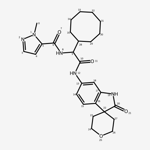 Cn1nccc1C(=O)NC(C(=O)Nc1ccc2c(c1)NC(=O)C21CCOCC1)C1CCCCCCC1